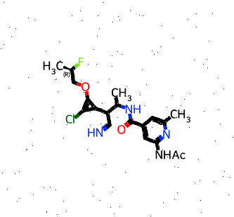 CC(=O)Nc1cc(C(=O)NC(C)C(C=N)C2C(Cl)=C2OC[C@@H](C)F)cc(C)n1